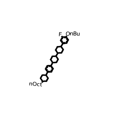 CCCCCCCCC1CCC(c2ccc(C3CCC(C4CCC(c5ccc(OCCCC)c(F)c5)CC4)CC3)cc2)CC1